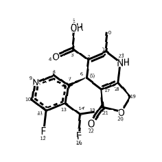 CC1=C(C(=O)O)[C@H](c2cncc(F)c2C(C)F)C2=C(COC2=O)N1